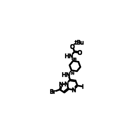 CC(C)(C)OC(=O)N[C@@H]1CCC[C@H](Nc2cc(I)nc3cc(Br)nn23)C1